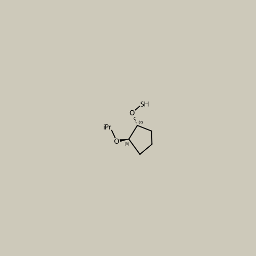 CC(C)O[C@@H]1CCC[C@H]1OS